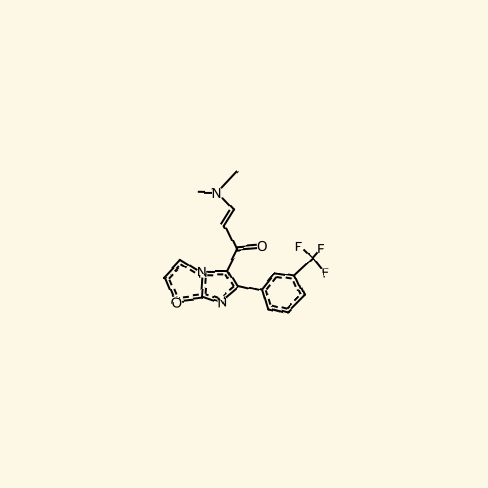 CN(C)C=CC(=O)c1c(-c2cccc(C(F)(F)F)c2)nc2occn12